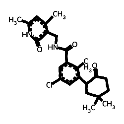 Cc1cc(C)c(CNC(=O)c2cc(Cl)cc(C3CC(C)(C)CCC3=O)c2C)c(=O)[nH]1